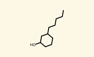 CCCCCC1CCCC(O)C1